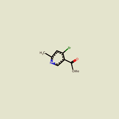 COC(=O)c1cnc(C)cc1Br